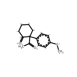 COc1ccc(C2(C(C)=O)CCCCC2=O)cc1